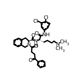 CN(C)CCCC[C@H](NC(=O)[C@@H]1Cc2ccccc2CN1C(=O)CCC(=O)c1ccccc1)C(=O)Nc1ccc(Cl)c(Cl)c1